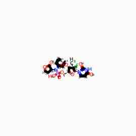 C[C@@]1(F)[C@H](O)[C@@H](COP(=O)(O)N(c2ccccc2)[C@H]2CCOC2=O)O[C@H]1n1ccc(=O)[nH]c1=O